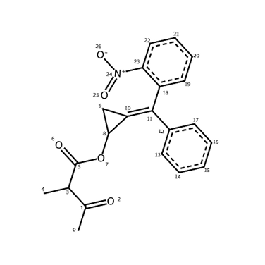 CC(=O)C(C)C(=O)OC1CC1=C(c1ccccc1)c1ccccc1[N+](=O)[O-]